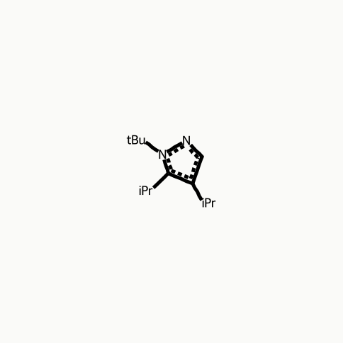 CC(C)c1cnn(C(C)(C)C)c1C(C)C